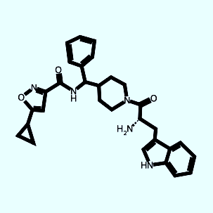 N[C@@H](Cc1c[nH]c2ccccc12)C(=O)N1CCC(C(NC(=O)c2cc(C3CC3)on2)c2ccccc2)CC1